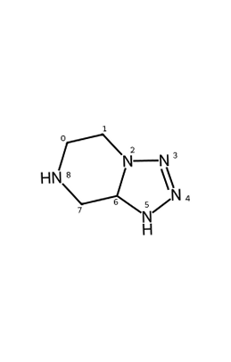 C1CN2N=NNC2CN1